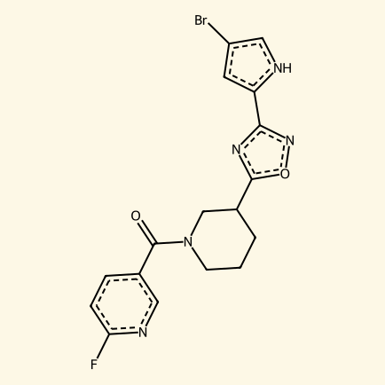 O=C(c1ccc(F)nc1)N1CCCC(c2nc(-c3cc(Br)c[nH]3)no2)C1